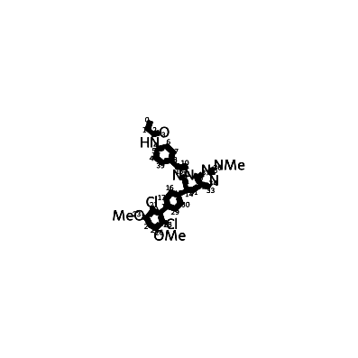 C=CC(=O)Nc1ccc(-c2cn3c(n2)c(-c2ccc(-c4c(Cl)c(OC)cc(OC)c4Cl)cc2)cc2cnc(NC)nc23)cc1